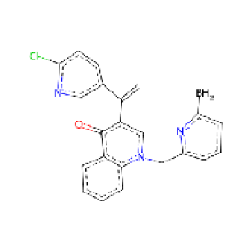 Bc1cccc(Cn2cc(C(=C)c3ccc(Cl)nc3)c(=O)c3ccccc32)n1